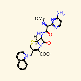 CON=C(C(=O)NC1C(=O)N2C(C(=O)[O-])=C(C[n+]3cccc4ccccc43)CS[C@@H]12)c1nccc(N)n1